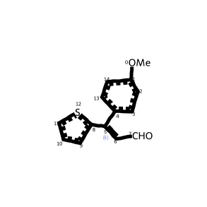 COc1ccc(/C(=C\C=O)c2cccs2)cc1